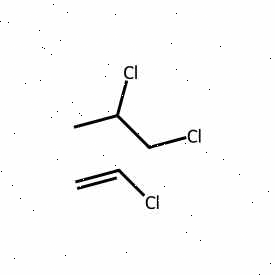 C=CCl.CC(Cl)CCl